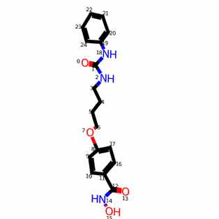 O=C(NCCCCOc1ccc(C(=O)NO)cc1)Nc1ccccc1